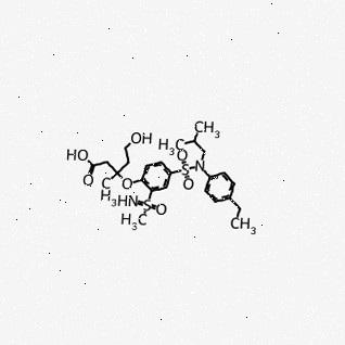 CCc1ccc(N(CC(C)C)S(=O)(=O)c2ccc(OC(C)(CCO)CC(=O)O)c(S(C)(=N)=O)c2)cc1